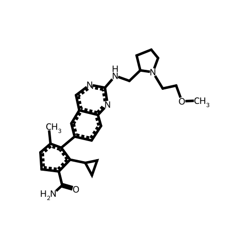 COCCN1CCCC1CNc1ncc2cc(-c3c(C)ccc(C(N)=O)c3C3CC3)ccc2n1